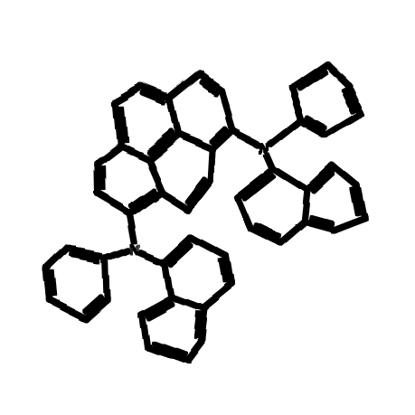 c1ccc(N(c2cccc3ccccc23)c2ccc3ccc4ccc(N(c5ccccc5)c5cccc6ccccc56)c5ccc2c3c45)cc1